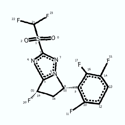 O=S(=O)(c1nc2n(n1)[C@H](c1c(F)ccc(F)c1F)C[C@@H]2F)C(F)F